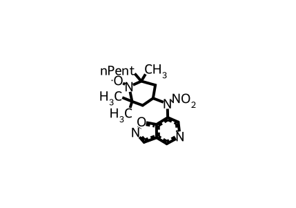 CCCCCC1(C)CC(N(c2cncc3cnoc23)[N+](=O)[O-])CC(C)(C)N1[O]